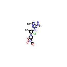 CCNc1nc(Nc2cc(C#N)cc(N3CC[C@@H]4[C@@H](C3)OC(=O)N4C3COC3)c2Cl)nn2c(C#N)cnc12